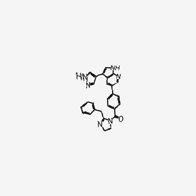 O=C(c1ccc(-c2cnc3[nH]cc(-c4cn[nH]c4)c3c2)cc1)N1CCN=C1Cc1ccccc1